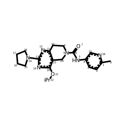 Cc1ccc(NC(=O)N2CCc3nc(N4CCCC4)nc(OC(C)C)c3C2)cn1